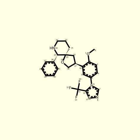 COc1ccc(-n2cnnc2C(F)(F)F)cc1[C@H]1CO[C@]2(CCCN[C@H]2c2ccccc2)C1